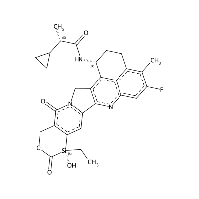 CC[Si@@]1(O)C(=O)OCc2c1cc1n(c2=O)Cc2c-1nc1cc(F)c(C)c3c1c2[C@H](NC(=O)[C@@H](C)C1CC1)CC3